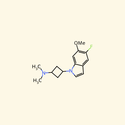 COc1cc2c(ccn2C2CC(N(C)C)C2)cc1F